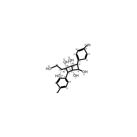 Cc1ccc(C2[C@]3(O)C(O)C(c4ccc(C(C)C)cc4)[C@]3(O)[C@]2(O)[C@H](O)CO)cc1